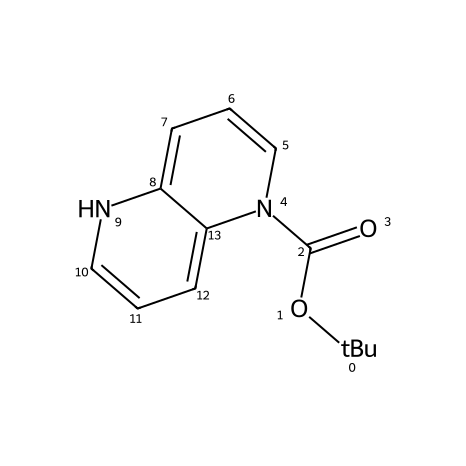 CC(C)(C)OC(=O)N1C=CC=C2NC=CC=C21